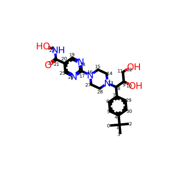 CC(C)(C)c1ccc(C(C(O)CO)N2CCN(c3ncc(C(=O)NO)cn3)CC2)cc1